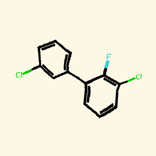 Fc1c(Cl)c[c]cc1-c1cccc(Cl)c1